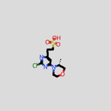 C[C@@H]1COCCN1c1cc(CCS(=O)(=O)O)nc(Cl)n1